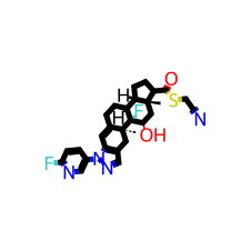 C[C@@]12C[C@H](O)[C@@]3(F)[C@@H](CCC4=Cc5c(cnn5-c5ccc(F)nc5)C[C@@]43C)[C@@H]1CC[C]2C(=O)SCC#N